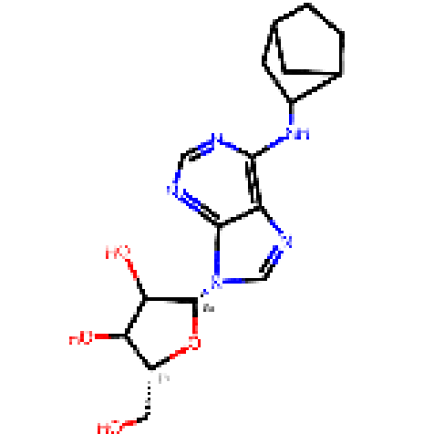 OC[C@H]1O[C@@H](n2cnc3c(NC4CC5CCC4C5)ncnc32)C(O)C1O